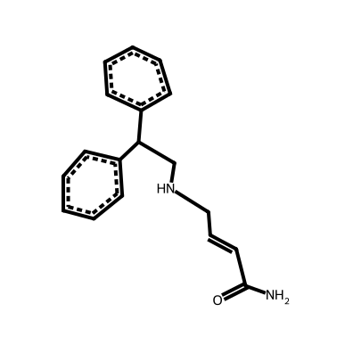 NC(=O)C=CCNCC(c1ccccc1)c1ccccc1